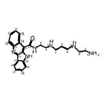 NCCNCCCNCCNC(=O)c1c2ccccc2nc2c1[nH]c1ccccc12